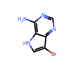 Nc1ncnc2c(Br)c[nH]c12